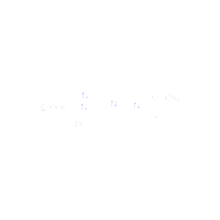 CCOC(=O)C(C(C)C)n1cc(N2CCN(C(=O)OC(C)(C)C)CC2)cn1